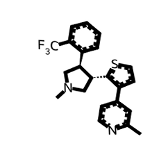 Cc1cc(-c2ccsc2[C@@H]2CN(C)C[C@H]2c2ccccc2C(F)(F)F)ccn1